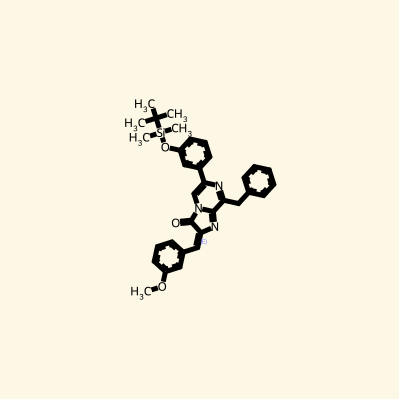 COc1cccc(/C=C2/N=C3C(Cc4ccccc4)=NC(c4cccc(O[Si](C)(C)C(C)(C)C)c4)=CN3C2=O)c1